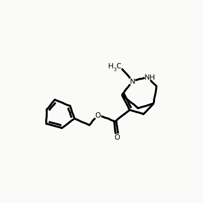 CN1NCC2CC(C(=O)OCc3ccccc3)=C1C2